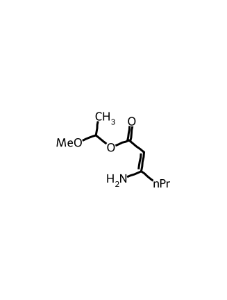 CCCC(N)=CC(=O)OC(C)OC